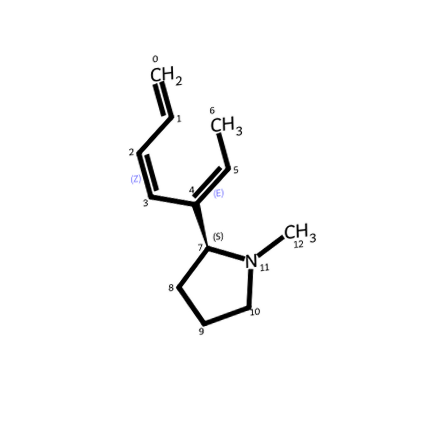 C=C/C=C\C(=C/C)[C@@H]1CCCN1C